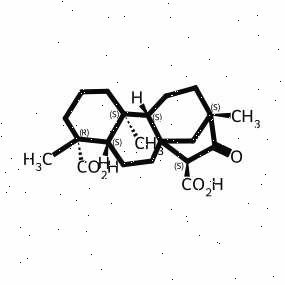 C[C@]12CC[C@@H]3C(CC[C@H]4[C@@]3(C)CCC[C@@]4(C)C(=O)O)(C1)[C@H](C(=O)O)C2=O